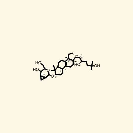 C[C@H](C(O)CCC(C)(C)O)[C@H]1CC[C@@]2(C)C3=C(CC[C@]12C)[C@@]1(C)CC[C@H](OC2OC(CO)C(O)C4CC24O)C(C)(C)C1CC3